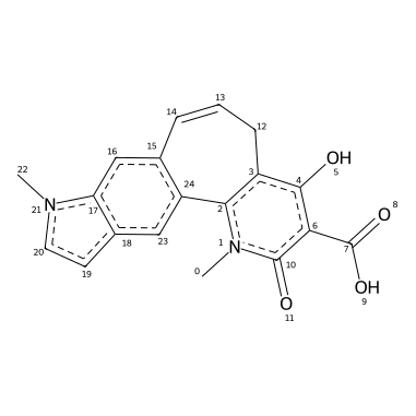 Cn1c2c(c(O)c(C(=O)O)c1=O)CC=Cc1cc3c(ccn3C)cc1-2